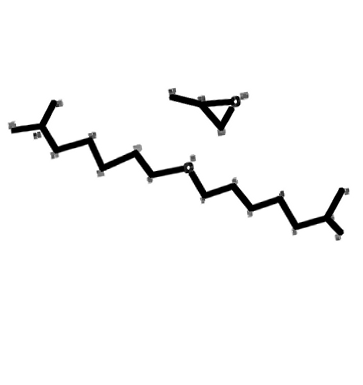 CC(C)CCCCCOCCCCCC(C)C.CC1CO1